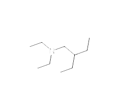 CC[C](CC)CN(CC)CC